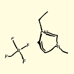 CC[n+]1ccn(C)c1.F[B-](F)(F)F